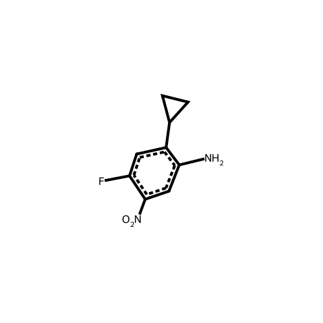 Nc1cc([N+](=O)[O-])c(F)cc1C1CC1